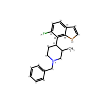 CC1CN(Cc2ccccc2)CCC1c1c(F)ccc2ccsc12